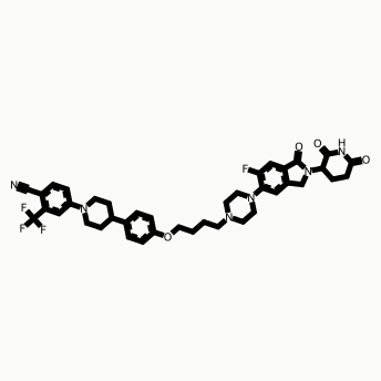 N#Cc1ccc(N2CCC(c3ccc(OCCCCN4CCN(c5cc6c(cc5F)C(=O)N(C5CCC(=O)NC5=O)C6)CC4)cc3)CC2)cc1C(F)(F)F